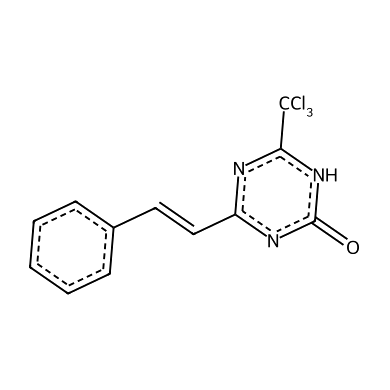 O=c1nc(C=Cc2ccccc2)nc(C(Cl)(Cl)Cl)[nH]1